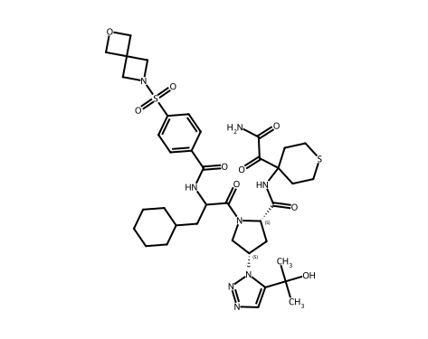 CC(C)(O)c1cnnn1[C@H]1C[C@@H](C(=O)NC2(C(=O)C(N)=O)CCSCC2)N(C(=O)C(CC2CCCCC2)NC(=O)c2ccc(S(=O)(=O)N3CC4(COC4)C3)cc2)C1